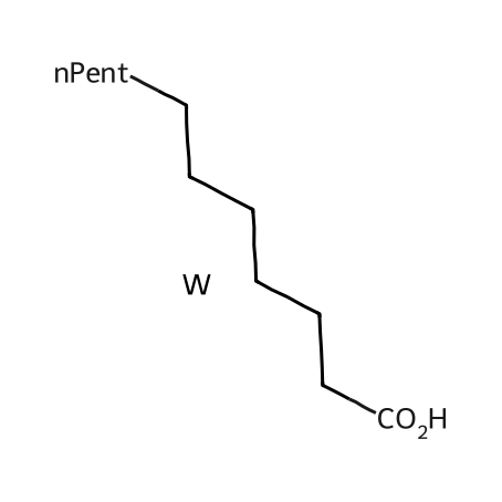 CCCCCCCCCCCC(=O)O.[W]